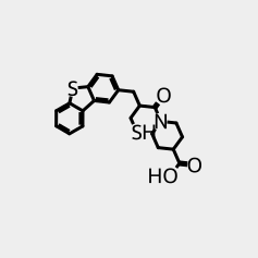 O=C(O)C1CCN(C(=O)C(CS)Cc2ccc3sc4ccccc4c3c2)CC1